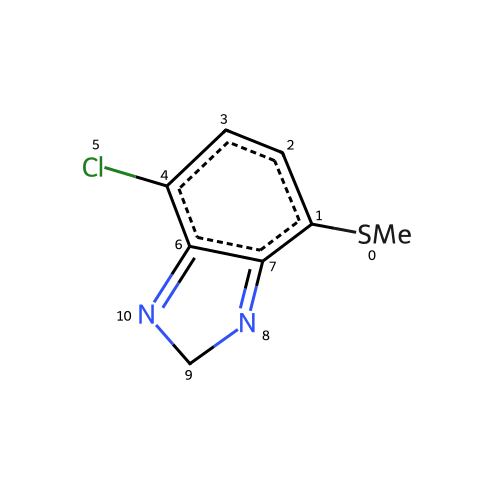 CSc1ccc(Cl)c2c1=NCN=2